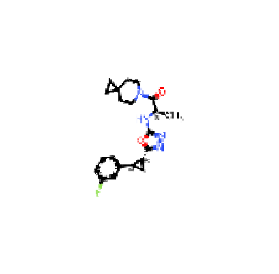 C[C@@H](Nc1nnc([C@@H]2C[C@H]2c2cccc(F)c2)o1)C(=O)N1CCC2(CC1)CC2